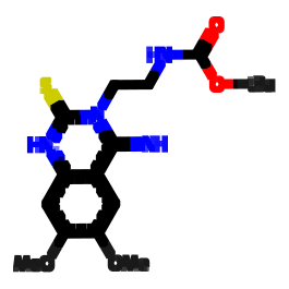 COc1cc2[nH]c(=S)n(CCNC(=O)OC(C)(C)C)c(=N)c2cc1OC